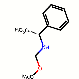 COOCN[C@H](C(=O)O)c1ccccc1